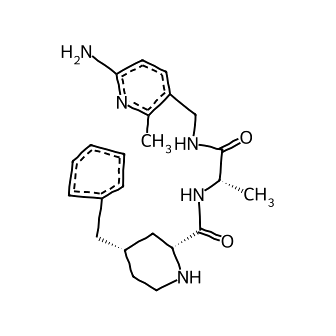 Cc1nc(N)ccc1CNC(=O)[C@H](C)NC(=O)[C@H]1C[C@@H](Cc2ccccc2)CCN1